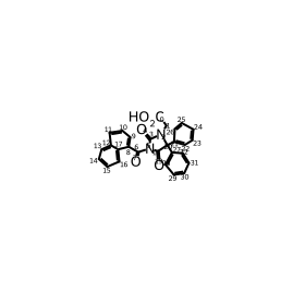 O=C(O)CN1C(=O)N(C(=O)c2cccc3ccccc23)C(=O)C1(c1ccccc1)c1ccccc1